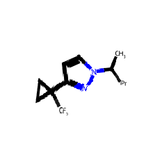 CC(C)C(C)n1ccc(C2(C(F)(F)F)CC2)n1